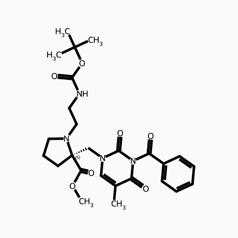 COC(=O)[C@@]1(Cn2cc(C)c(=O)n(C(=O)c3ccccc3)c2=O)CCCN1CCNC(=O)OC(C)(C)C